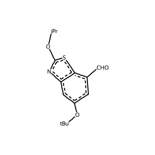 CC(C)Oc1nc2cc(OC(C)(C)C)cc(C=O)c2s1